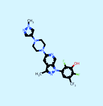 Cc1nn(-c2cc(C(F)(F)F)c(F)c(O)c2F)c2cnc(N3CCN(c4cnn(C)c4)CC3)cc12